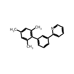 Cc1cc(C)c(-c2cccc(-c3ccccn3)c2)c(C)c1